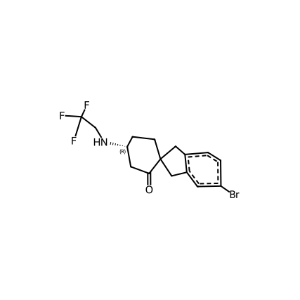 O=C1C[C@H](NCC(F)(F)F)CCC12Cc1ccc(Br)cc1C2